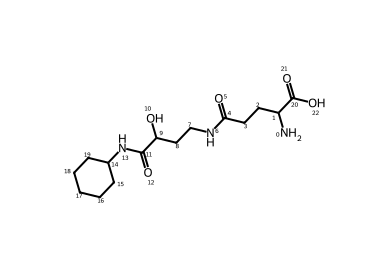 NC(CCC(=O)NCCC(O)C(=O)NC1CCCCC1)C(=O)O